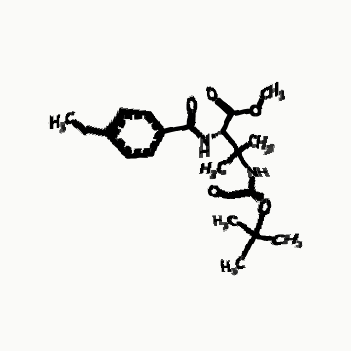 CCc1ccc(C(=O)N[C@H](C(=O)OC)C(C)(C)NC(=O)OC(C)(C)C)cc1